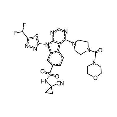 N#CC1(NS(=O)(=O)c2ccc3c4c(N5CCN(C(=O)N6CCOCC6)CC5)ncnc4n(-c4nnc(C(F)F)s4)c3c2)CC1